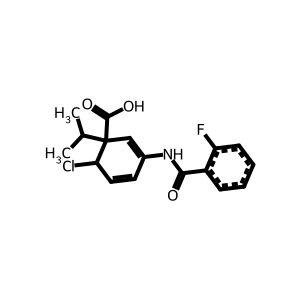 CC(C)C1(C(=O)O)C=C(NC(=O)c2ccccc2F)C=CC1Cl